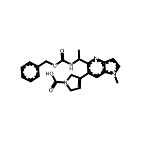 CC(NC(=O)OCc1ccccc1)c1nc2ccn(C)c2cc1C1=CCN(C(=O)O)C1